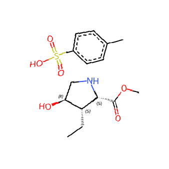 CC[C@H]1[C@@H](C(=O)OC)NC[C@@H]1O.Cc1ccc(S(=O)(=O)O)cc1